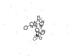 N#Cc1nccc(C(=O)NC2C3CCC2CN(Cc2ccc(-n4c(-c5cccnc5N)nc5ccc(-c6ccccc6)nc54)cc2)C3)n1